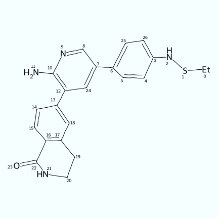 CCSNc1ccc(-c2cnc(N)c(-c3ccc4c(c3)CCNC4=O)c2)cc1